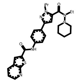 CCN(C(=O)c1cc(-c2ccc(NC(=O)c3cc4cccnc4s3)cc2)nn1C(C)C)N1CCCCC1